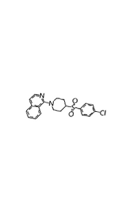 O=S(=O)(c1ccc(Cl)cc1)C1CCN(c2nccc3ccccc23)CC1